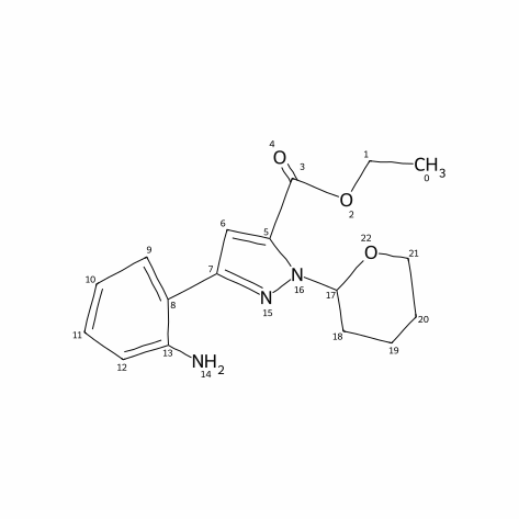 CCOC(=O)c1cc(-c2ccccc2N)nn1C1CCCCO1